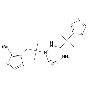 CC(C)(C)c1ocnc1CC(C)(C)N(/C=C\N)NCC(C)(C)c1cncs1